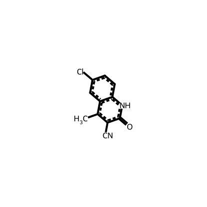 Cc1c(C#N)c(=O)[nH]c2ccc(Cl)cc12